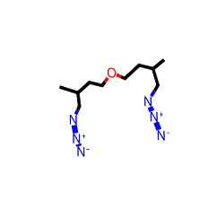 CC(CCOCCC(C)CN=[N+]=[N-])CN=[N+]=[N-]